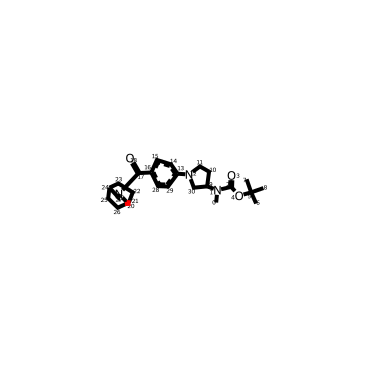 CN(C(=O)OC(C)(C)C)C1CCN(c2ccc(C(=O)N3CC4CCC(CC4)C3)cc2)C1